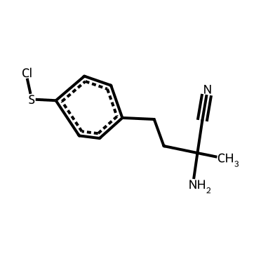 CC(N)(C#N)CCc1ccc(SCl)cc1